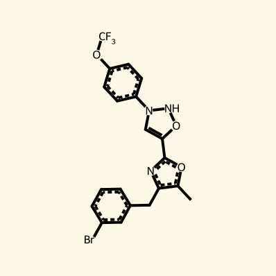 Cc1oc(C2=CN(c3ccc(OC(F)(F)F)cc3)NO2)nc1Cc1cccc(Br)c1